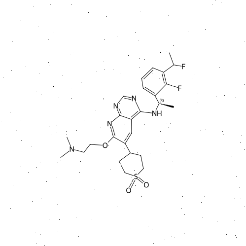 CC(F)c1cccc([C@@H](C)Nc2ncnc3nc(OCCN(C)C)c(C4CCS(=O)(=O)CC4)cc23)c1F